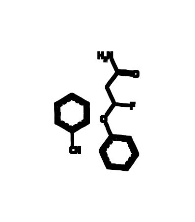 N#Cc1ccccc1.NC(=O)CC(F)Oc1ccccc1